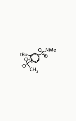 CNS(=O)(=O)c1ccc(C(C)(C)[O])c(C(C)(C)C)c1